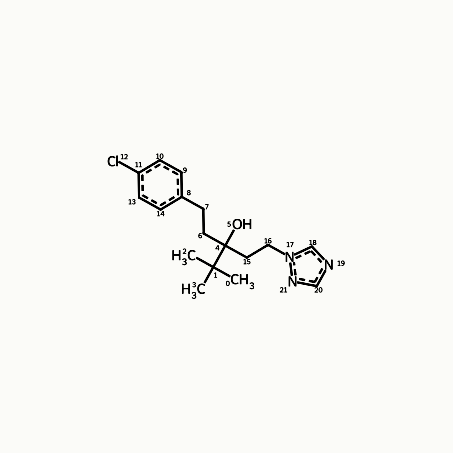 CC(C)(C)C(O)(CCc1ccc(Cl)cc1)CCn1cncn1